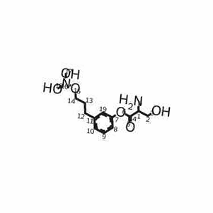 NC(CO)C(=O)Oc1cccc(CCCON(O)O)c1